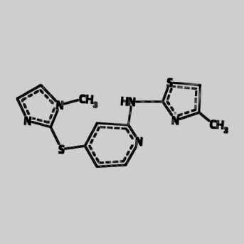 Cc1csc(Nc2cc(Sc3nccn3C)ccn2)n1